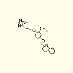 Cc1cc(OCc2ccc3ccccc3n2)ccc1OCCCc1ncn[nH]1